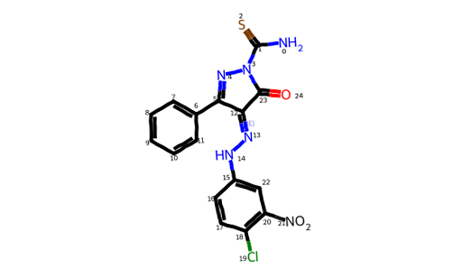 NC(=S)N1N=C(c2ccccc2)/C(=N\Nc2ccc(Cl)c([N+](=O)[O-])c2)C1=O